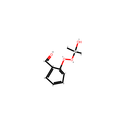 C[Si](C)(O)OOc1ccccc1C=O